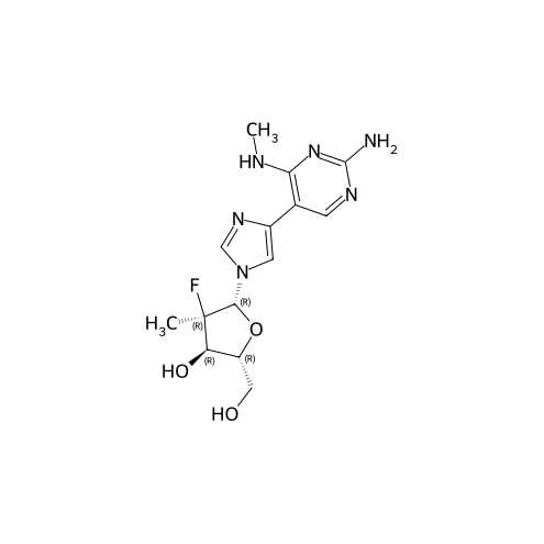 CNc1nc(N)ncc1-c1cn([C@@H]2O[C@H](CO)[C@@H](O)[C@@]2(C)F)cn1